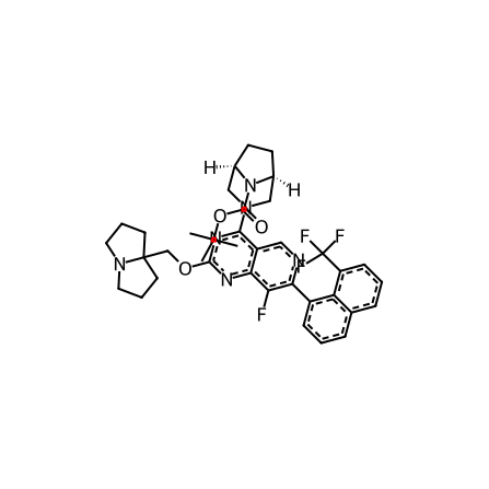 CC(C)(C)OC(=O)N1[C@@H]2CC[C@H]1CN(c1nc(OCC34CCCN3CCC4)nc3c(F)c(-c4cccc5cccc(C(F)(F)F)c45)ncc13)C2